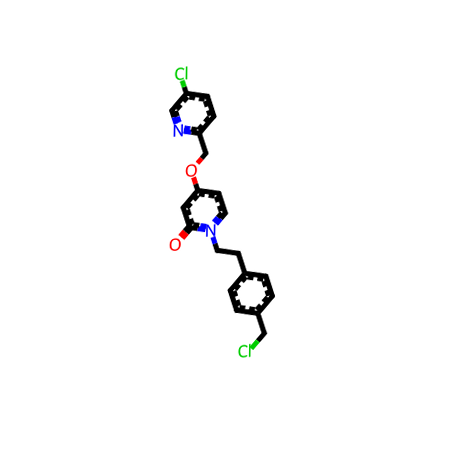 O=c1cc(OCc2ccc(Cl)cn2)ccn1CCc1ccc(CCl)cc1